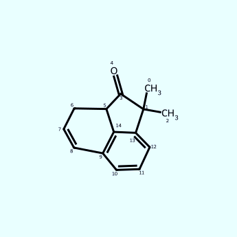 CC1(C)C(=O)C2CC=Cc3cccc1c32